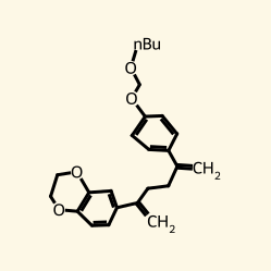 C=C(CCC(=C)c1ccc2c(c1)OCCO2)c1ccc(OCOCCCC)cc1